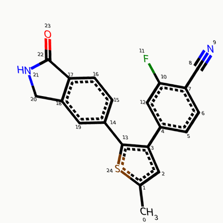 Cc1cc(-c2ccc(C#N)c(F)c2)c(-c2ccc3c(c2)CNC3=O)s1